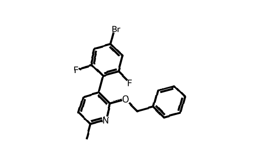 Cc1ccc(-c2c(F)cc(Br)cc2F)c(OCc2ccccc2)n1